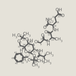 CC(C)C(=O)N[C@@H]1[C@@H](OCC(=O)NC(C)C(=O)NC(CCC(=O)O)C(N)=O)[C@@H]2OC(C)(C)OC[C@H]2O[C@]1(Cc1ccccc1)OC(C)(C)C